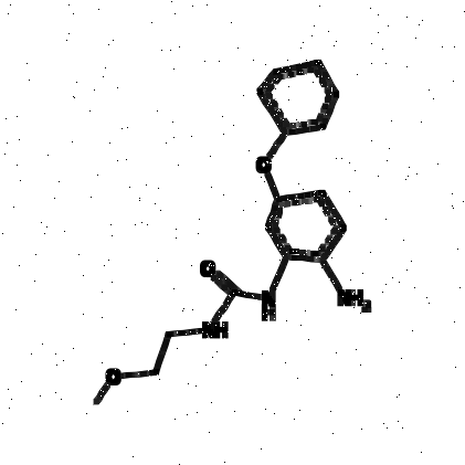 COCCNC(=O)Nc1cc(Oc2ccccc2)ccc1N